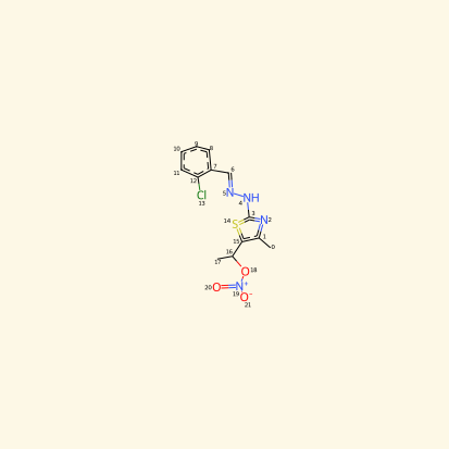 Cc1nc(NN=Cc2ccccc2Cl)sc1C(C)O[N+](=O)[O-]